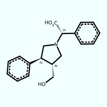 O=C(O)[C@H](c1ccccc1)N1C[C@H](CO)[C@@H](c2ccccc2)C1